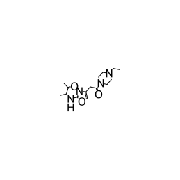 CCN1CCN(C(=O)Cc2coc(NC(C)C(C)=O)n2)CC1